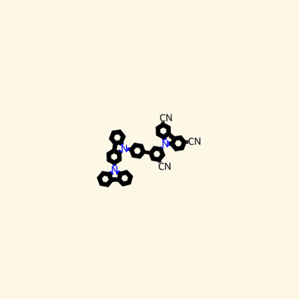 N#Cc1cc(-c2ccc(-n3c4ccccc4c4ccc(-n5c6ccccc6c6ccccc65)cc43)cc2)cc(-n2c3ccc(C#N)cc3c3cc(C#N)ccc32)c1